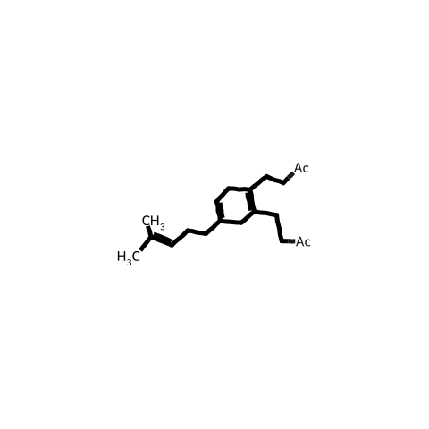 CC(=O)CCC1=C(CCC(C)=O)CC(CCC=C(C)C)=CC1